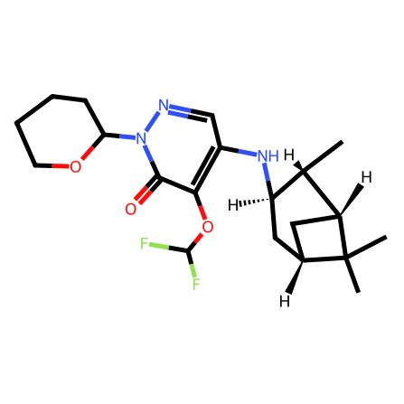 C[C@@H]1[C@H]2C[C@@H](C[C@H]1Nc1cnn(C3CCCCO3)c(=O)c1OC(F)F)C2(C)C